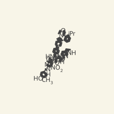 CC(C)c1ccccc1[C@@H]1COCCN1C1CC2(CCN(c3ccc(C(=O)NS(=O)(=O)c4cnc(NC[C@H]5CC[C@](C)(O)CC5)c([N+](=O)[O-])c4)c(N4c5cc6cc[nH]c6nc5O[C@H]5COCC[C@@H]54)c3)CC2)C1